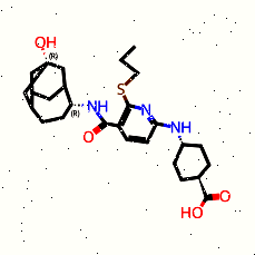 CCCSc1nc(N[C@H]2CC[C@H](C(=O)O)CC2)ccc1C(=O)N[C@@H]1CCC2C[C@@]3(O)CC2CC1C3